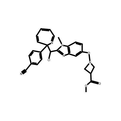 COC(=O)C1CN(Oc2ccc3c(c2)nc(C(Cl)C2(c4ccc(C#N)cc4)C=CC=CC=N2)n3C)C1